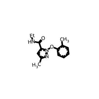 CCNC(=O)c1cc(C)nn1Oc1ccccc1C